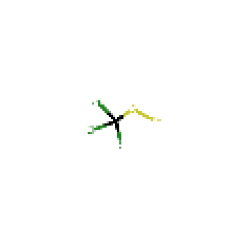 SSC(Cl)(Cl)Cl